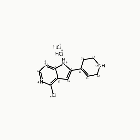 Cl.Cl.Clc1ncnc2[nH]c(C3=CCNCC3)cc12